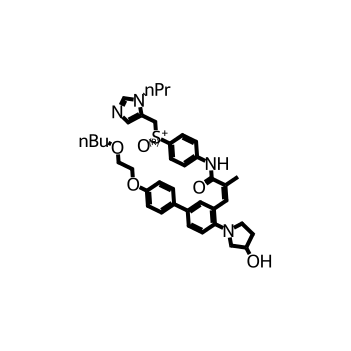 CCCCOCCOc1ccc(-c2ccc(N3CCC(O)C3)c(C=C(C)C(=O)Nc3ccc([S@@+]([O-])Cc4cncn4CCC)cc3)c2)cc1